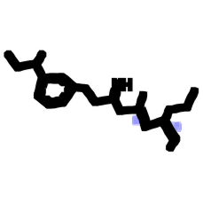 C/C=C(\C=C(/C)CC(=N)CCc1cccc(C(C)CC)c1)CCC